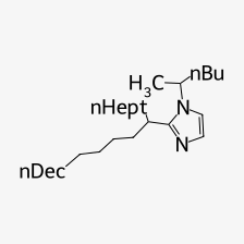 CCCCCCCCCCCCCCC(CCCCCCC)c1nccn1C(C)CCCC